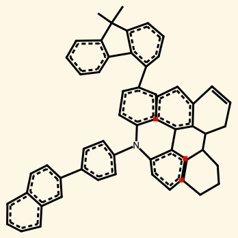 CC1(C)c2ccccc2-c2c(-c3ccc(N(c4ccc(-c5ccc6ccccc6c5)cc4)c4ccccc4-c4cccc5c4C(C4CCCCC4)CC=C5)cc3)cccc21